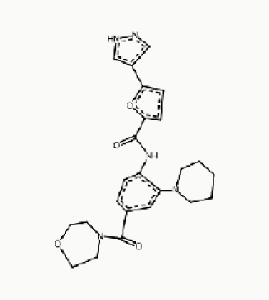 O=C(Nc1ccc(C(=O)N2CCOCC2)cc1N1CCCCC1)c1ccc(-c2cn[nH]c2)o1